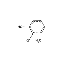 O.Oc1ccccc1Cl